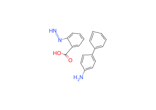 N=Nc1ccccc1C(=O)O.Nc1ccc(-c2ccccc2)cc1